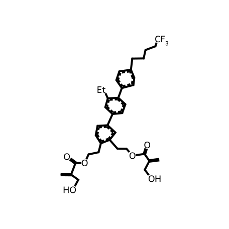 C=C(CO)C(=O)OCCc1ccc(-c2ccc(-c3ccc(CCCCC(F)(F)F)cc3)c(CC)c2)cc1CCOC(=O)C(=C)CO